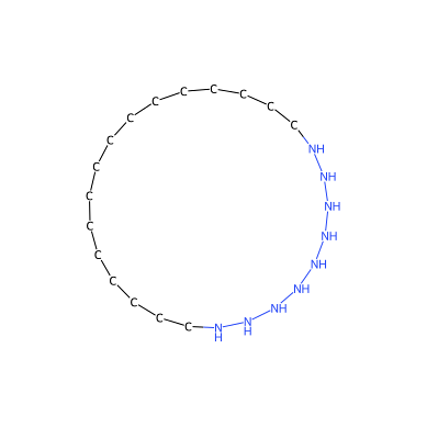 C1CCCCCCCCNNNNNNNNNCCCCCCC1